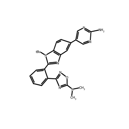 CN(C)c1nc(-c2ccccc2-c2nc3cc(-c4cnc(N)nc4)ccc3n2C(C)(C)C)no1